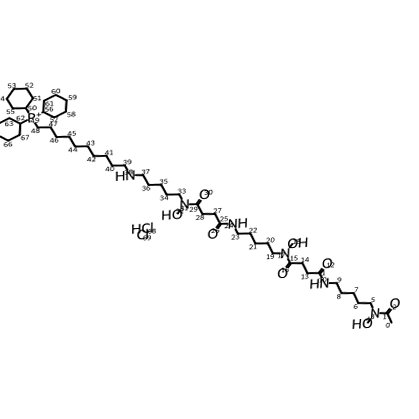 CC(=O)N(O)CCCCCNC(=O)CCC(=O)N(O)CCCCCNC(=O)CCC(=O)N(O)CCCCCNCCCCCCCCCC[P+](C1CCCCC1)(C1CCCCC1)C1CCCCC1.Cl.[Cl-]